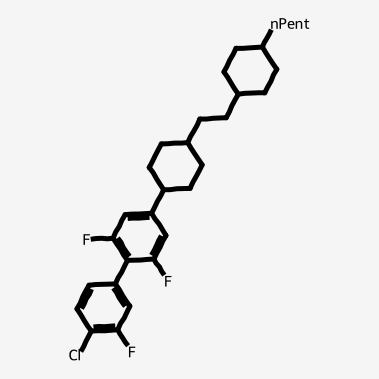 CCCCCC1CCC(CCC2CCC(c3cc(F)c(-c4ccc(Cl)c(F)c4)c(F)c3)CC2)CC1